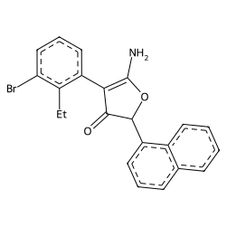 CCc1c(Br)cccc1C1=C(N)OC(c2cccc3ccccc23)C1=O